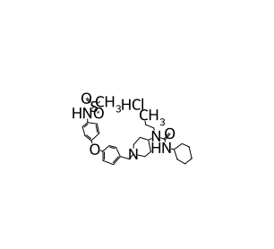 CCCN(C(=O)NC1CCCCC1)C1CCN(Cc2ccc(Oc3ccc(NS(C)(=O)=O)cc3)cc2)CC1.Cl